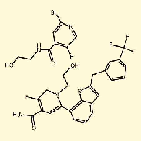 NC(=O)C1=C(F)CN(CCO)C(c2cccc3cc(Cc4cccc(C(F)(F)F)c4)sc23)=C1.O=C(NCCO)c1cc(Br)ncc1F